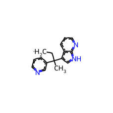 [CH2]CC(C)(c1cccnc1)c1c[nH]c2ncccc12